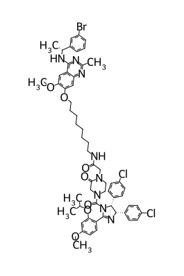 COc1ccc(C2=N[C@@H](c3ccc(Cl)cc3)[C@@H](c3ccc(Cl)cc3)N2C(=O)N2CCN(CC(=O)NCCCCCCCCOc3cc4nc(C)nc(N[C@H](C)c5cccc(Br)c5)c4cc3OC)C(=O)C2)c(OC(C)C)c1